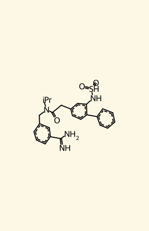 CC(C)N(Cc1cccc(C(=N)N)c1)C(=O)Cc1ccc(-c2ccccc2)c(N[SH](=O)=O)c1